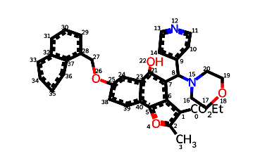 CCOC(=O)c1c(C)oc2c1c(C(c1ccncc1)N1CCOCC1)c(O)c1cc(OCc3cccc4ccccc34)ccc12